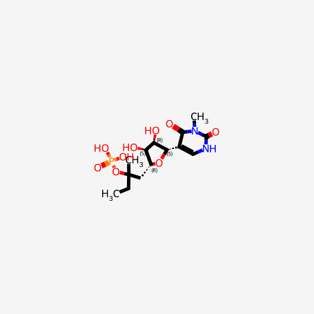 CCC(C)(C[C@H]1O[C@@H](c2c[nH]c(=O)n(C)c2=O)[C@H](O)[C@@H]1O)OP(=O)(O)O